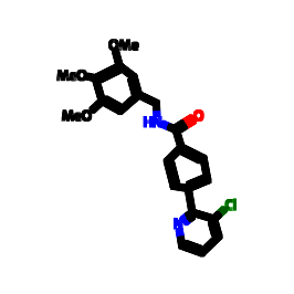 COc1cc(CNC(=O)c2ccc(-c3ncccc3Cl)cc2)cc(OC)c1OC